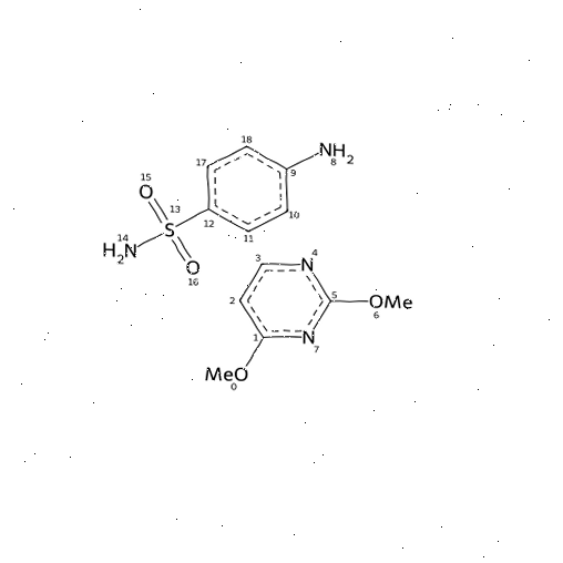 COc1ccnc(OC)n1.Nc1ccc(S(N)(=O)=O)cc1